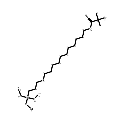 CCO[Si](CCCSCCCCCCCCCCCOC(=O)C(C)(C)Br)(OCC)OCC